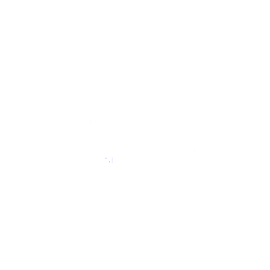 CC(C)(C)C(NC(=O)O)c1cccc(O)c1F